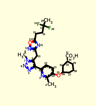 Cc1nc(-c2nnn(C)c2Cc2noc(CCC(C)(F)F)n2)ccc1OC1CCC[C@H](C(=O)O)C1